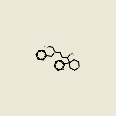 CCN(CCC(C)C1(c2ccccn2)CCOCC1)Cc1ccccc1